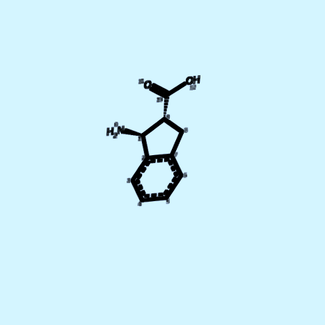 N[C@@H]1c2ccccc2C[C@H]1C(=O)O